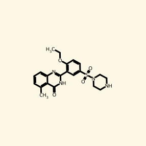 CCOc1ccc(S(=O)(=O)N2CCNCC2)cc1-c1nc2cccc(C)c2c(=O)[nH]1